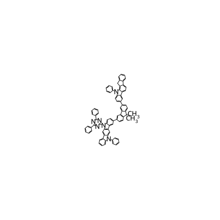 CC1(C)c2ccc(-c3ccc4c(c3)c3cc5c(cc3n4-c3nc(-c4ccccc4)nc(-c4ccccc4)n3)c3ccccc3n5-c3ccccc3)cc2-c2cc(-c3ccc4c(c3)c3ccc5c(c3n4-c3ccccc3)Cc3ccccc3-5)ccc21